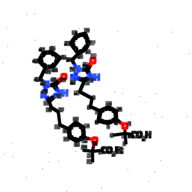 CC(C)(Oc1ccc(CCCc2nn(Cc3ccccc3)c(=O)[nH]2)cc1)C(=O)O.CCOC(=O)C(C)(C)Oc1ccc(CCCc2nn(Cc3ccccc3)c(=O)[nH]2)cc1